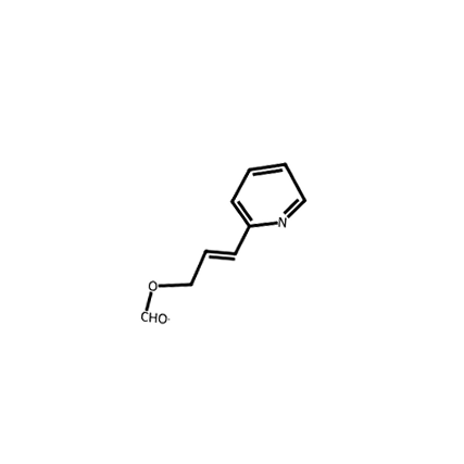 O=[C]OCC=Cc1ccccn1